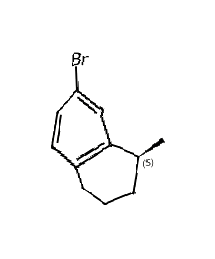 C[C@H]1CCCc2ccc(Br)cc21